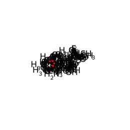 CC[C@@]1(O)C(=O)OCc2c1cc1n(c2=O)Cc2c-1nc1cc(F)c(C)c3c1c2[C@@H](NC(=O)OC(CNC(=O)CC[C@H](NC(=O)COCCOCCN)C(=O)N(C)CC(=O)N(C)CC(=O)N(C)CC(=O)N(C)CC(=O)N(C)CC(=O)N(C)CC(=O)N(C)CC(=O)N(C)CC(=O)N(C)CC(=O)N(C)CC(N)=O)c1ccc(O[C@@H]2O[C@H](C(=O)O)[C@@H](O)[C@H](O)[C@H]2O)c([N+](=O)[O-])c1)CC3